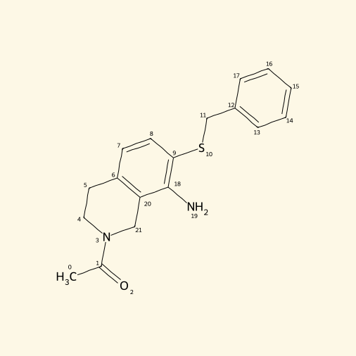 CC(=O)N1CCc2ccc(SCc3ccccc3)c(N)c2C1